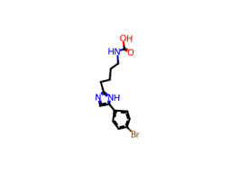 O=C(O)NCCCCc1ncc(-c2ccc(Br)cc2)[nH]1